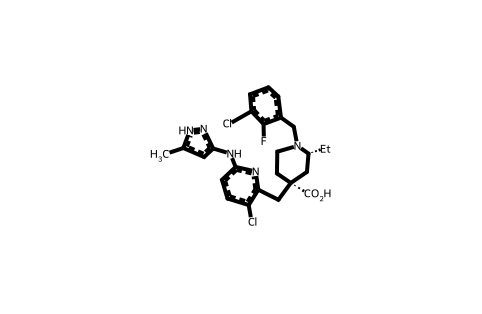 CC[C@@H]1C[C@](Cc2nc(Nc3cc(C)[nH]n3)ccc2Cl)(C(=O)O)CCN1Cc1cccc(Cl)c1F